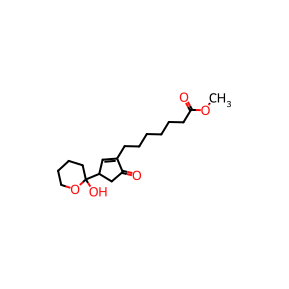 COC(=O)CCCCCCC1=CC(C2(O)CCCCO2)CC1=O